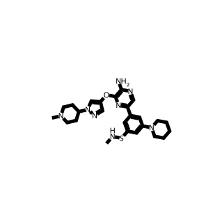 CNSc1cc(-c2cnc(N)c(Oc3cnn(C4CCN(C)CC4)c3)n2)cc(N2CCCCC2)c1